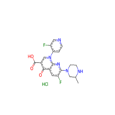 CC1CN(c2nc3c(cc2F)c(=O)c(C(=O)O)cn3-c2ccncc2F)CCN1.Cl